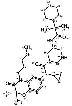 COCCCN1C(=O)C(C)(C)Oc2ccc(N(C(=O)[C@H]3CNCC(NC(=O)C(C)(C)C4CCOCC4)C3)C3CC3)cc21